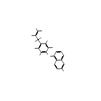 O=S(=O)(O)c1ccc2c(Oc3c(F)c(F)c(C(F)(F)C(F)=C(F)F)c(F)c3F)cccc2c1